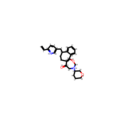 C=Cc1ccc(CC2CCC3=C(OCN(C4CCCOC4)CC3=O)c3ccccc32)cn1